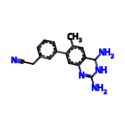 Cc1cc2c(cc1-c1cccc(CC#N)c1)N=C(N)NC2N